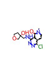 Cn1ccc2c(Cl)nnc(NCC3(O)CCOC3)c2c1=O